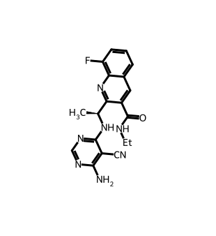 CCNC(=O)c1cc2cccc(F)c2nc1[C@H](C)Nc1ncnc(N)c1C#N